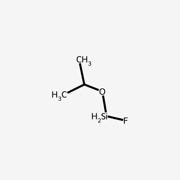 CC(C)O[SiH2]F